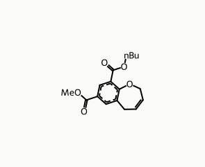 CCCCOC(=O)c1cc(C(=O)OC)cc2c1OCC=CC2